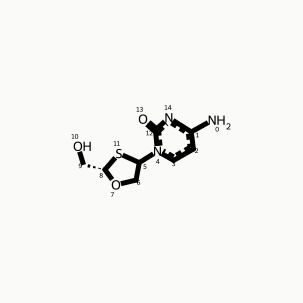 Nc1ccn(C2CO[C@H](CO)S2)c(=O)n1